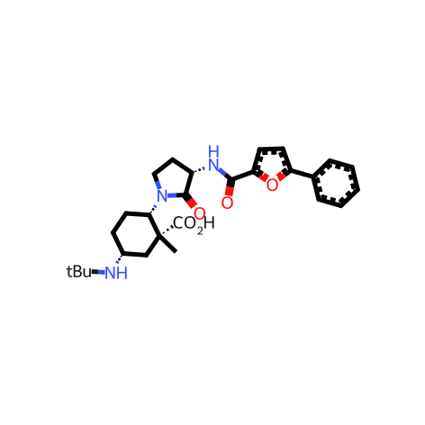 CC(C)(C)N[C@@H]1CC[C@H](N2CC[C@H](NC(=O)c3ccc(-c4ccccc4)o3)C2=O)[C@](C)(C(=O)O)C1